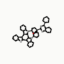 c1ccc(-c2nc(-c3ccc(-n4c5ccccc5c5c6c7ccccc7oc6c6c7ccccc7n(-c7ccccc7)c6c54)cc3)nc3ccccc23)cc1